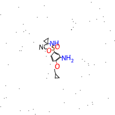 N#CC1(NS(=O)(=O)c2ccc(OCC3CC3)c(N)c2)CC1